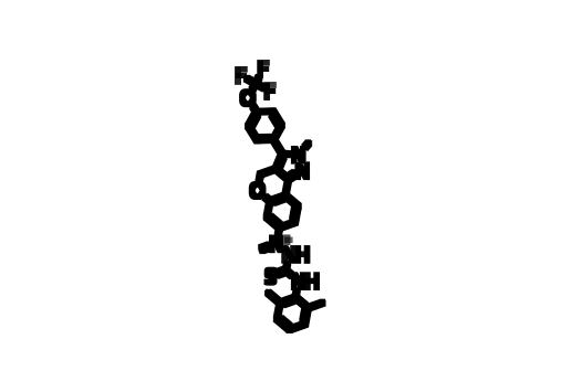 C=[N+](NC(=S)Nc1c(C)cccc1C)c1ccc2c(c1)OCc1c-2nn(C)c1-c1ccc(OC(F)(F)F)cc1